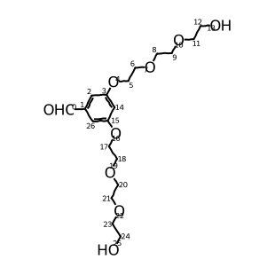 O=Cc1cc(OCCOCCOCCO)cc(OCCOCCOCCO)c1